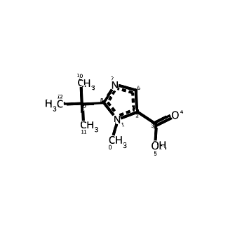 Cn1c(C(=O)O)cnc1C(C)(C)C